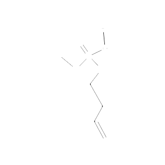 C=CCCOP(=O)(OF)OF